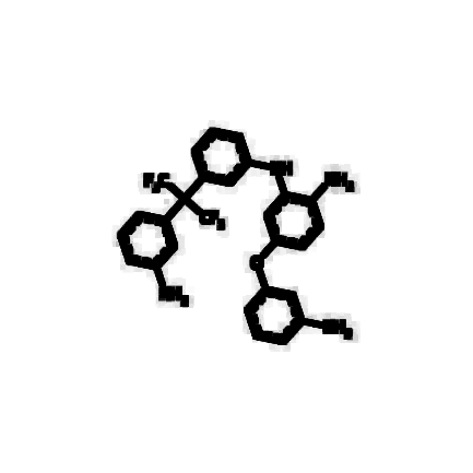 Nc1cccc(Oc2ccc(N)c(Nc3cccc(C(c4cccc(N)c4)(C(F)(F)F)C(F)(F)F)c3)c2)c1